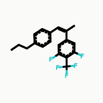 CCCc1ccc(C=C(C)c2cc(F)c(C(F)(F)F)c(F)c2)cc1